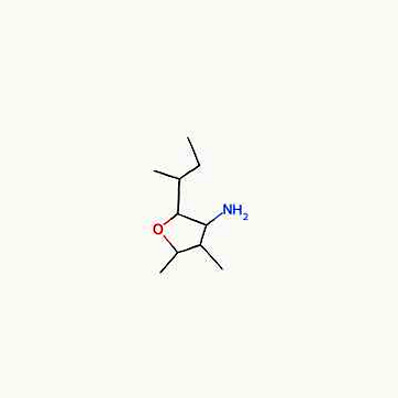 CCC(C)C1OC(C)C(C)C1N